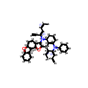 C#C/C(=C\C=C/C)N1c2c(oc3c2ccc2oc4ccccc4c23)B2C3=C(C=CCC31)N(c1ccccc1)C(=C/C=C)/C2=C\C